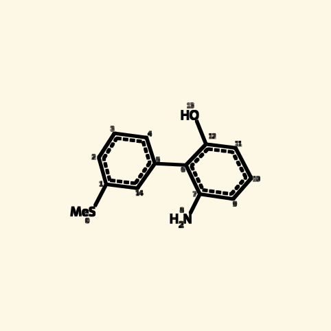 CSc1cccc(-c2c(N)cccc2O)c1